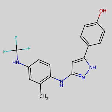 Cc1cc(NC(F)(F)F)ccc1Nc1cc(-c2ccc(O)cc2)[nH]n1